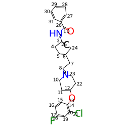 O=C(NC1CCC(CCN2CCC(Oc3ccc(F)cc3Cl)CC2)CC1)c1ccccc1